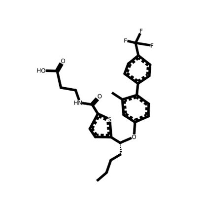 CCCC[C@@H](Oc1ccc(-c2ccc(C(F)(F)F)cc2)c(C)c1)c1ccc(C(=O)NCCC(=O)O)s1